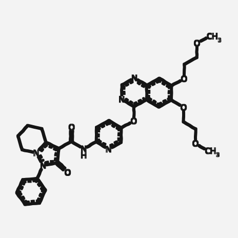 COCCOc1cc2ncnc(Oc3ccc(NC(=O)c4c5n(n(-c6ccccc6)c4=O)CCCC5)nc3)c2cc1OCCOC